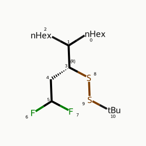 CCCCCCC(CCCCCC)[C@@H](CC(F)F)SSC(C)(C)C